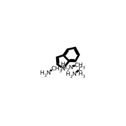 CN.CN.CN.c1ccc2[nH]ccc2c1